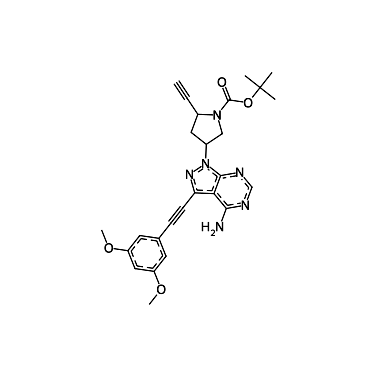 C#CC1CC(n2nc(C#Cc3cc(OC)cc(OC)c3)c3c(N)ncnc32)CN1C(=O)OC(C)(C)C